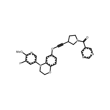 COc1ncc(N2CCOc3ccc(OC#CC4CCN(C(=O)c5cncnc5)C4)cc32)cc1F